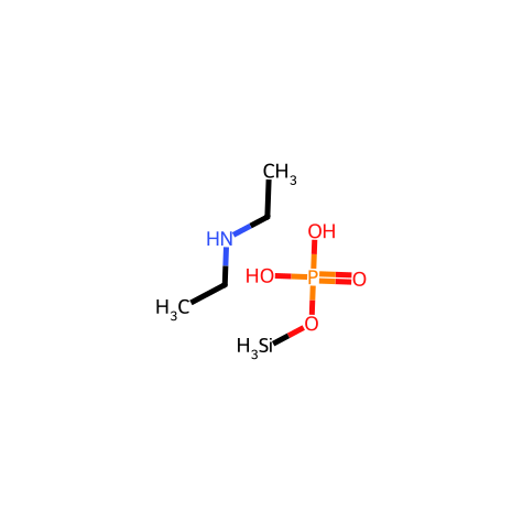 CCNCC.O=P(O)(O)O[SiH3]